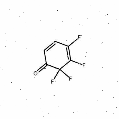 O=C1C=CC(F)=C(F)C1(F)F